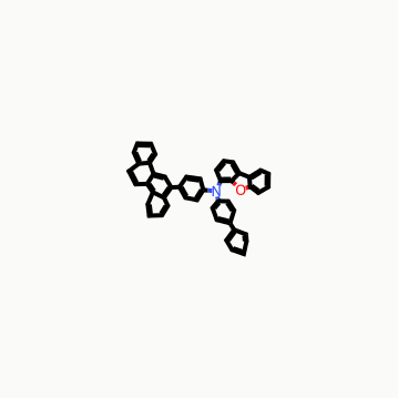 c1ccc(-c2ccc(N(c3ccc(-c4cc5c6ccccc6ccc5c5ccccc45)cc3)c3cccc4c3oc3ccccc34)cc2)cc1